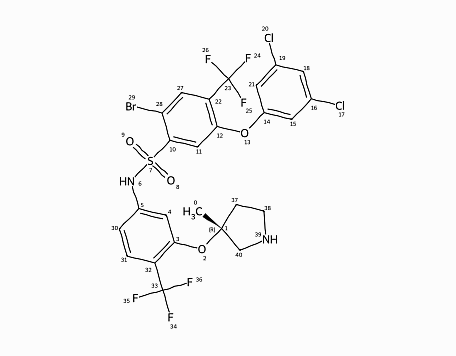 C[C@@]1(Oc2cc(NS(=O)(=O)c3cc(Oc4cc(Cl)cc(Cl)c4)c(C(F)(F)F)cc3Br)ccc2C(F)(F)F)CCNC1